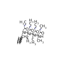 C/C=C/C(=O)CNCC.C/C=C/C(=O)CNCC.C/C=C/C(=O)CNCC.C/C=C/C(=O)CNCC.F.F.F.F